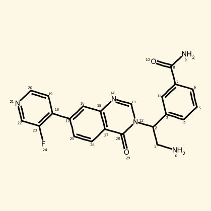 NCC(c1cccc(C(N)=O)c1)n1cnc2cc(-c3ccncc3F)ccc2c1=O